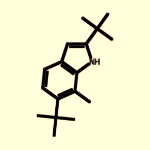 Cc1c(C(C)(C)C)ccc2cc(C(C)(C)C)[nH]c12